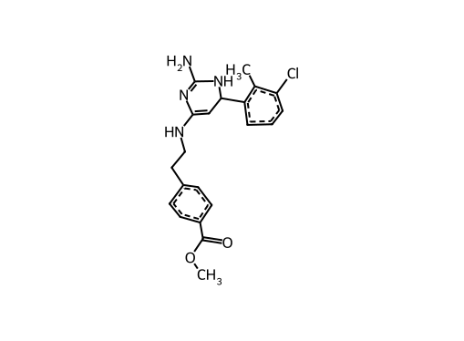 COC(=O)c1ccc(CCNC2=CC(c3cccc(Cl)c3C)NC(N)=N2)cc1